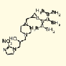 BB(B)B(B)B(B(B)B)B1CC1CN1CCN(CC(O)Cn2ccnc2[N+](=O)[O-])CC1